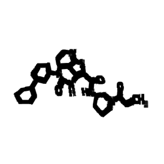 C=CC(=O)N1CCC[C@@H](NC(=O)c2sc3nccc4c3c2NC(=O)N4c2cccc(C3CCCCC3)c2)C1